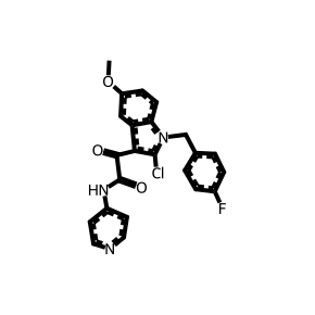 COc1ccc2c(c1)c(C(=O)C(=O)Nc1ccncc1)c(Cl)n2Cc1ccc(F)cc1